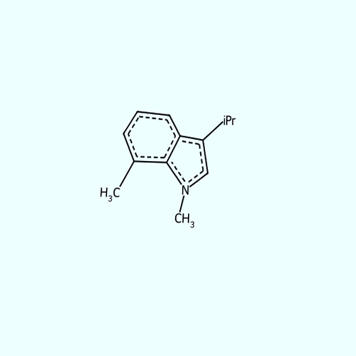 Cc1cccc2c(C(C)C)cn(C)c12